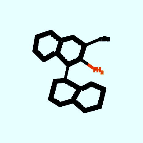 CCCCc1cc2ccccc2c(-c2cccc3ccccc23)c1P